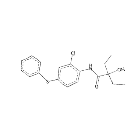 CCC(O)(CC)C(=O)Nc1ccc(Sc2ccccc2)cc1Cl